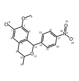 COc1cc2c(cc1Cl)CC(C)OC2c1ccc([N+](=O)[O-])cc1